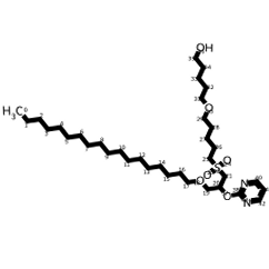 CCCCCCCCCCCCCCCCCCOCC(CS(=O)(=O)CCCCCOCCCCCO)Oc1ncccn1